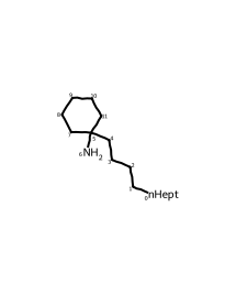 CCCCCCCCCCCC1(N)CCCCC1